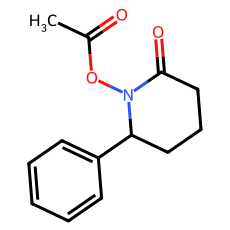 CC(=O)ON1C(=O)CCCC1c1ccccc1